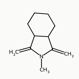 C=C1C2CCCCC2C(=C)N1C